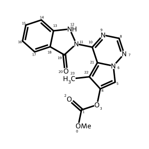 COC(=O)Oc1cn2ncnc(-n3[nH]c4ccccc4c3=O)c2c1C